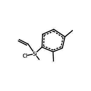 C=C[Si](C)(Cl)c1ccc(C)cc1C